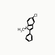 Cn1c(-c2ccccc2)cc2cc(Cl)ccc21